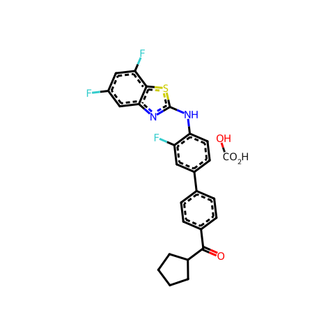 O=C(O)O.O=C(c1ccc(-c2ccc(Nc3nc4cc(F)cc(F)c4s3)c(F)c2)cc1)C1CCCC1